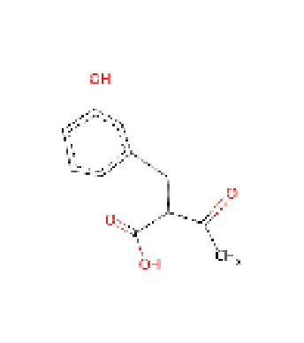 CC(=O)C(Cc1cccc(O)c1)C(=O)O